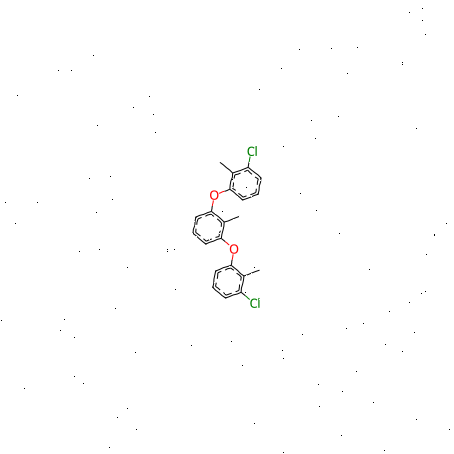 Cc1c(Cl)cccc1Oc1cccc(Oc2cccc(Cl)c2C)c1C